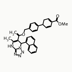 C=C(OCc1ccc(C2C=CC(C(=O)OC)=CC2)cc1)C1=C(C)Nc2nnnn2C1c1cccc2ccccc12